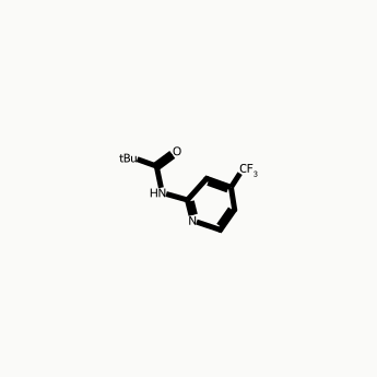 CC(C)(C)C(=O)Nc1cc(C(F)(F)F)ccn1